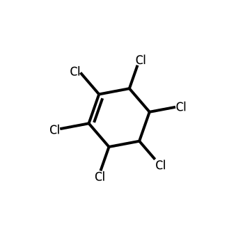 ClC1=C(Cl)C(Cl)C(Cl)C(Cl)C1Cl